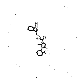 Cc1cc(C(=O)NCCc2c[nH]c3ccccc23)c(C)n1-c1ccccc1C(F)(F)F